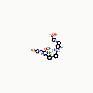 COc1nc(-c2cccc(-c3cccc(-c4nc5cc6c(c(F)c5o4)CC[C@H]6N4CC[C@@H](C(=O)O)C4)c3C)c2Cl)cnc1CN1CC[C@@H](O)C1